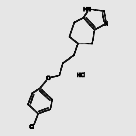 Cl.Clc1ccc(OCCCC2CCc3[nH]cnc3C2)cc1